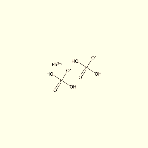 O=P([O-])(O)O.O=P([O-])(O)O.[Pb+2]